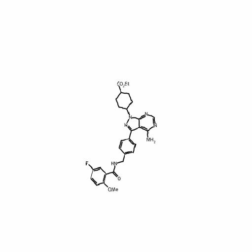 CCOC(=O)C1CCC(n2nc(-c3ccc(CNC(=O)c4cc(F)ccc4OC)cc3)c3c(N)ncnc32)CC1